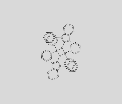 c1ccc(-c2c(N3[Si](c4ccccc4)(c4ccccc4)N(c4sc5ccccc5c4-c4ccccc4)[Si]3(c3ccccc3)c3ccccc3)sc3ccccc23)cc1